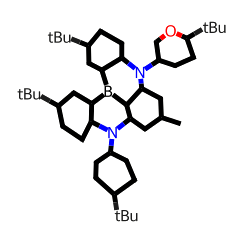 CC1CC2C3B(C4CC(C(C)(C)C)CCC4N2C2CCC(C(C)(C)C)CC2)C2CC(C(C)(C)C)CCC2N(C2CCC(C(C)(C)C)OC2)C3C1